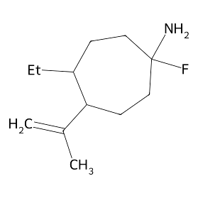 C=C(C)C1CCC(N)(F)CCC1CC